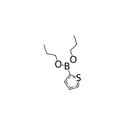 CCCOB(OCCC)c1cccs1